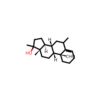 CC1C[C@@H]2[C@@H](CC[C@@]3(C)[C@H]2CCC3(C)O)[C@@]2(C=O)CCCC=C12